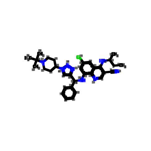 CC[C@H](C)Nc1c(C#N)cnc2c(N[C@@H](c3ccccc3)c3cn(C4CCN(C(C)(C)C)CC4)nn3)cc(Cl)cc12